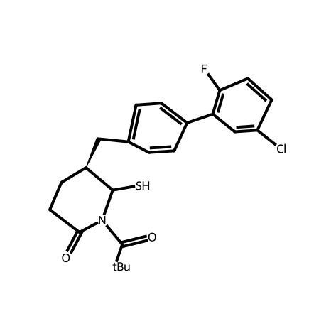 CC(C)(C)C(=O)N1C(=O)CC[C@@H](Cc2ccc(-c3cc(Cl)ccc3F)cc2)C1S